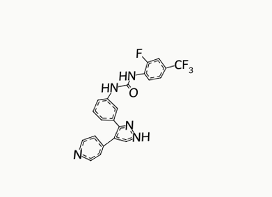 O=C(Nc1cccc(-c2n[nH]cc2-c2ccncc2)c1)Nc1ccc(C(F)(F)F)cc1F